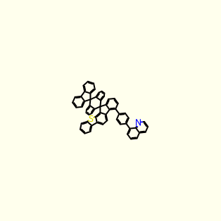 c1ccc2c(c1)-c1ccccc1C21c2ccccc2C2(c3ccccc31)c1cccc(-c3ccc(-c4cccc5cccnc45)cc3)c1-c1ccc3c(sc4ccccc43)c12